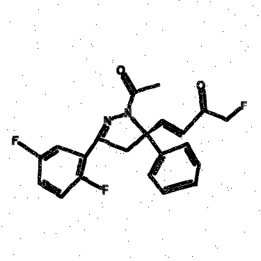 CC(=O)N1N=C(c2cc(F)ccc2F)C[C@@]1(C=CC(=O)CF)c1ccccc1